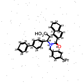 CC(C)c1ccc(CN(C(=O)c2ccc3ccccc3c2)C(CC(=O)O)c2ccc(-c3ccccc3)cc2)cc1